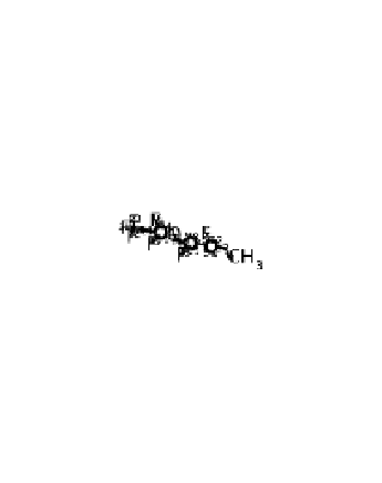 CCCc1ccc(-c2ccc(COc3cc(F)c(C#CC(F)(F)F)c(F)c3)c(F)c2)c(F)c1